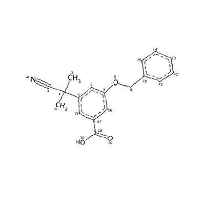 CC(C)(C#N)c1cc(OCc2ccccc2)cc(C(=O)O)c1